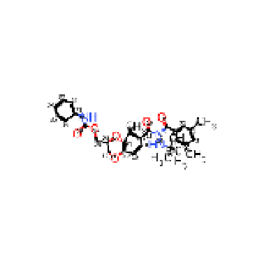 Cc1cc(C)cc(C(=O)N(NC(C)(C)C)C(=O)c2ccc3c(c2C)OC(COC(=O)Nc2ccccc2)CO3)c1